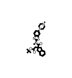 CN1CCN(c2ccc3nc(N(C)C(=O)C4(CC(=O)OC(C)(C)C)Cc5ccccc5C4)sc3c2)CC1